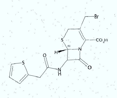 O=C(Cc1cccs1)NC1C(=O)N2C(C(=O)O)=C(CBr)CS[C@@H]12